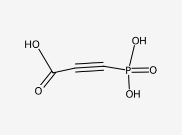 O=C(O)C#CP(=O)(O)O